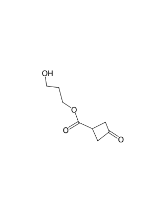 O=C1CC(C(=O)OCCCO)C1